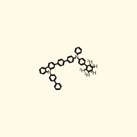 [2H]c1c([2H])c([2H])c(-c2ccc(N(c3ccccc3)c3ccc(-c4ccc(-c5ccc6c7ccccc7n(-c7ccc(-c8ccccc8)cc7)c6c5)cc4)cc3)cc2)c([2H])c1[2H]